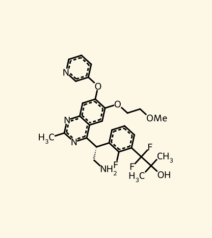 COCCOc1cc2c([C@@H](CN)c3cccc(C(F)(F)C(C)(C)O)c3F)nc(C)nc2cc1Oc1cccnc1